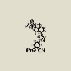 C=CS(=O)(=O)N[C@@H]1CCc2c(-c3cnc(-c4ccc(OC(C)C)c(C#N)c4)s3)cccc21